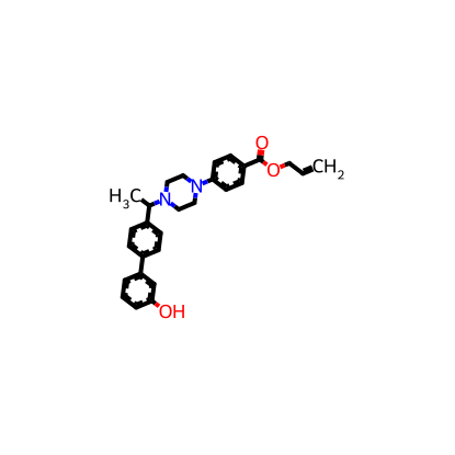 C=CCOC(=O)c1ccc(N2CCN(C(C)c3ccc(-c4cccc(O)c4)cc3)CC2)cc1